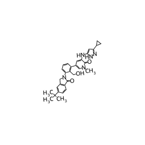 Cn1cc(-c2cccc(N3Cc4cc(C(C)(C)C)ccc4C3=O)c2CO)cc(Nc2cc(C3CC3)n[nH]2)c1=O